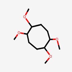 COC1CCC(OC)C(OC)CCC1OC